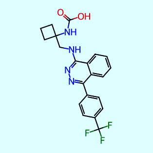 O=C(O)NC1(CNc2nnc(-c3ccc(C(F)(F)F)cc3)c3ccccc23)CCC1